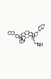 N=C/C=C\C=C\n1c2c(c3cc4c5c(c31)CCc1c-5c(cc3c5cc(-c6ccc7ccccc7c6)ccc5n(-c5ccccn5)c13)CC4)C=C(c1ccc3ccccc3c1)CC2